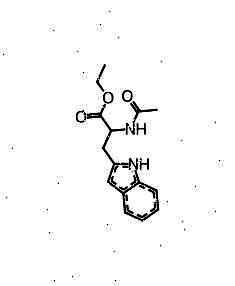 CCOC(=O)C(Cc1cc2ccccc2[nH]1)NC(C)=O